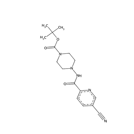 CC(C)(C)OC(=O)N1CCN(NC(=O)c2ccc(C#N)cn2)CC1